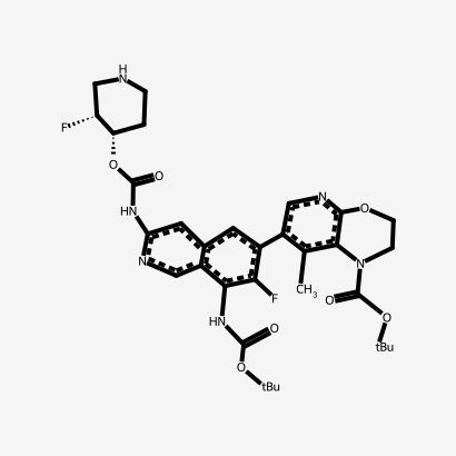 Cc1c(-c2cc3cc(NC(=O)O[C@H]4CCNC[C@H]4F)ncc3c(NC(=O)OC(C)(C)C)c2F)cnc2c1N(C(=O)OC(C)(C)C)CCO2